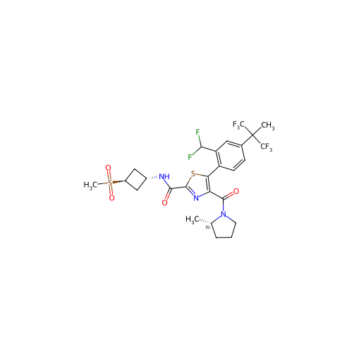 C[C@H]1CCCN1C(=O)c1nc(C(=O)N[C@H]2C[C@H](S(C)(=O)=O)C2)sc1-c1ccc(C(C)(C(F)(F)F)C(F)(F)F)cc1C(F)F